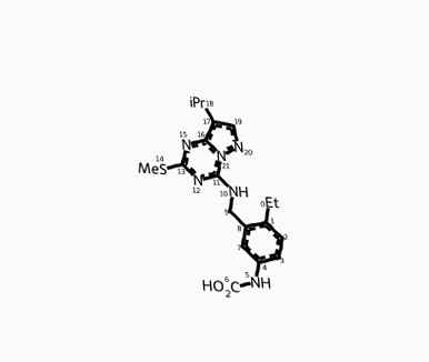 CCc1ccc(NC(=O)O)cc1CNc1nc(SC)nc2c(C(C)C)cnn12